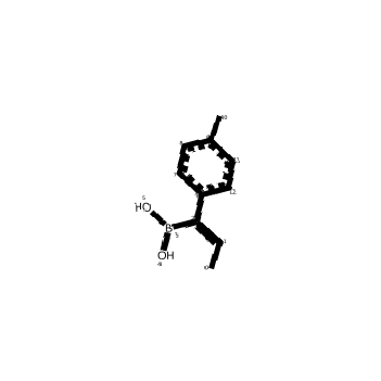 CC=C(B(O)O)c1ccc(C)cc1